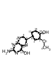 COc1cc(-c2cnc3nc(N)nc(O)c3n2)ccc1O